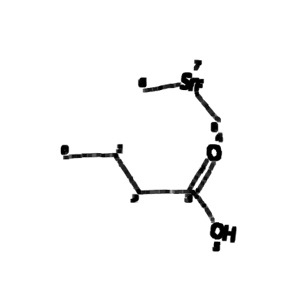 CCCC(=O)O.[CH3][Sn][CH3]